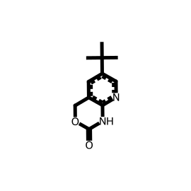 CC(C)(C)c1cnc2c(c1)COC(=O)N2